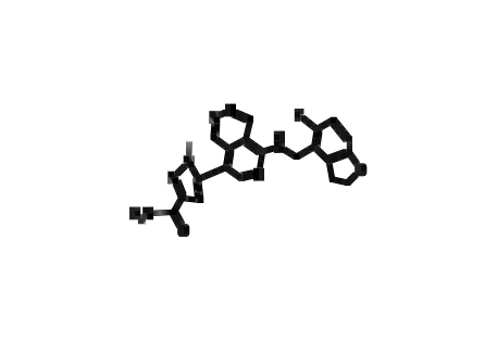 Cn1nc(C(N)=O)cc1-c1cnc(NCc2c(F)ccc3c2CCO3)c2cnncc12